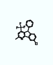 Cc1cc(C(F)(F)F)c2c(n1)-c1cc(Cl)ccc1C2c1ccccc1